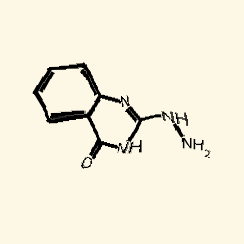 NNc1nc2ccccc2c(=O)[nH]1